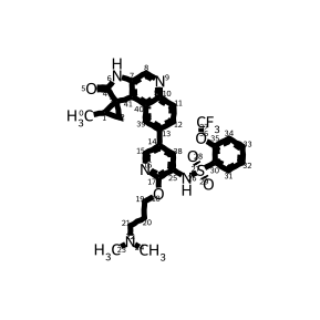 CC1CC12C(=O)Nc1cnc3ccc(-c4cnc(OCCCN(C)C)c(NS(=O)(=O)c5ccccc5OC(F)(F)F)c4)cc3c12